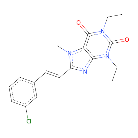 CCn1c(=O)c2c(nc(C=Cc3cccc(Cl)c3)n2C)n(CC)c1=O